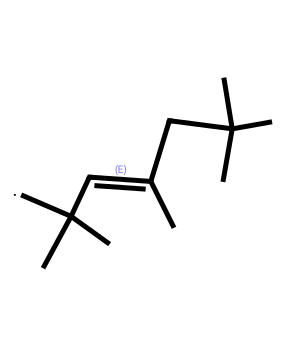 [CH2]C(C)(C)/C=C(\C)CC(C)(C)C